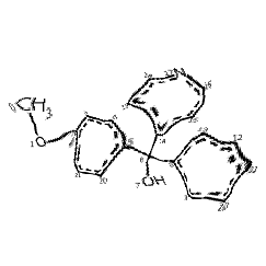 COc1ccc(C(O)(c2ccccc2)c2ccncc2)cc1